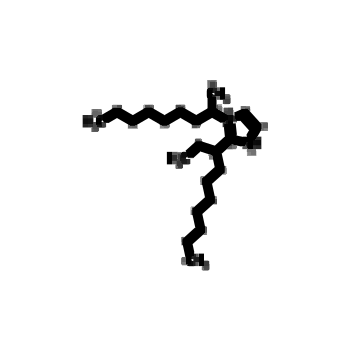 CCCCCCCC(CC)c1[nH]cc[n+]1C(C)CCCCCCC